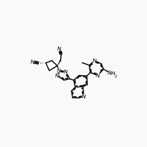 Cc1ncc(N)nc1-c1cc(-c2cnn([C@]3(CC#N)C[C@H](C#N)C3)n2)c2cccnc2c1